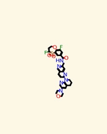 O=C(NCc1cc2nc(N3CCCc4cc(N5CCOCC5)cnc43)ccc2cn1)c1cc(F)c2c(c1)S(=O)(=O)[C@@H](F)CCO2